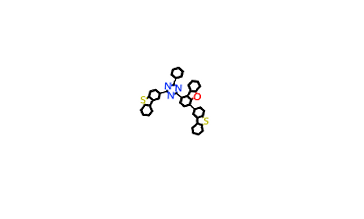 c1ccc(-c2nc(-c3ccc4sc5ccccc5c4c3)nc(-c3ccc(-c4ccc5sc6ccccc6c5c4)c4oc5ccccc5c34)n2)cc1